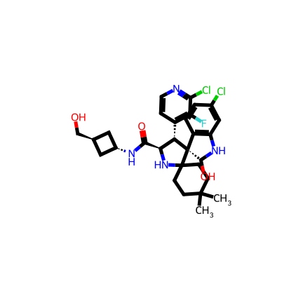 CC1(C)CCC2(CC1)N[C@@H](C(=O)N[C@H]1C[C@H](CO)C1)[C@H](c1ccnc(Cl)c1F)[C@@]21c2ccc(Cl)cc2NC1O